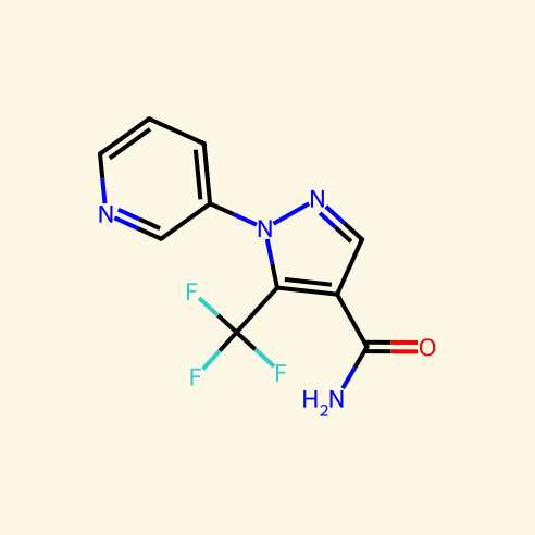 NC(=O)c1cnn(-c2cccnc2)c1C(F)(F)F